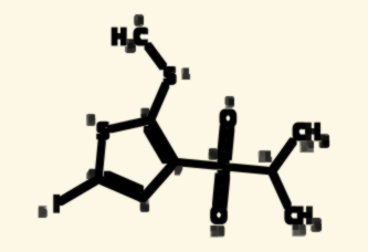 CSc1sc(I)cc1S(=O)(=O)C(C)C